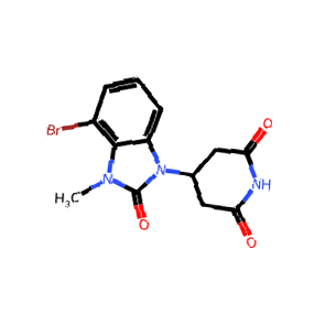 Cn1c(=O)n(C2CC(=O)NC(=O)C2)c2cccc(Br)c21